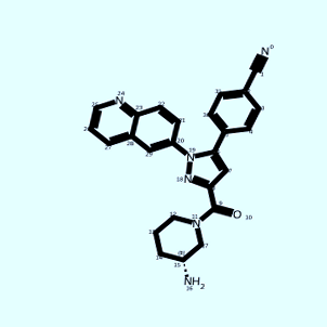 N#Cc1ccc(-c2cc(C(=O)N3CCC[C@@H](N)C3)nn2-c2ccc3ncccc3c2)cc1